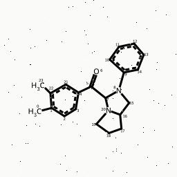 Cc1ccc(C(=O)C2N(c3ccccc3)CC3CCCN32)cc1C